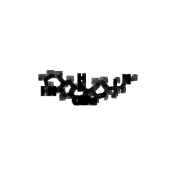 C=NCC(C)(C)c1ccc(C(=O)Nc2cc3c(cc2OC)NCCCC3)cc1